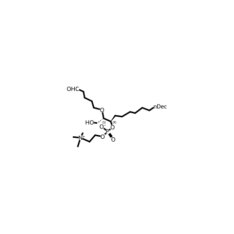 CCCCCCCCCCCCCCCC[C@@H](OP(=O)([O-])OCC[N+](C)(C)C)[C@H](CO)OCCCCC=O